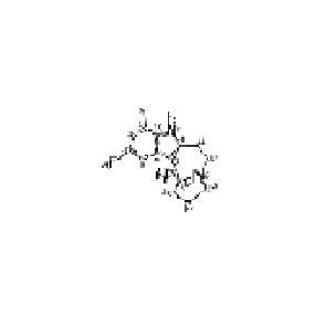 Cc1cc(F)cc2c3c([nH]c12)CCN1CCC[C@@H]31